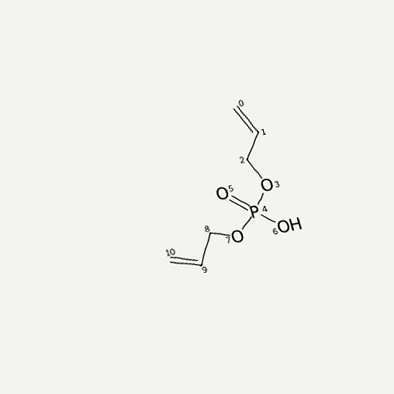 C=CCOP(=O)(O)OCC=C